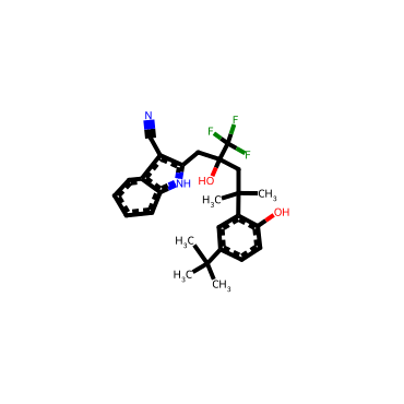 CC(C)(C)c1ccc(O)c(C(C)(C)CC(O)(Cc2[nH]c3ccccc3c2C#N)C(F)(F)F)c1